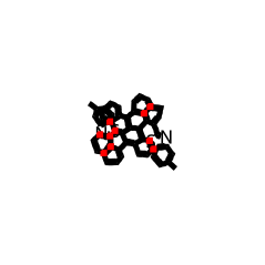 Cc1ccc2sc(-c3ccccc3-c3c4ccccc4c(-c4ccccc4-c4nc5cc(C)ccc5s4)c4c(-c5ccccc5)c5ccccc5c(-c5ccccc5)c34)nc2c1